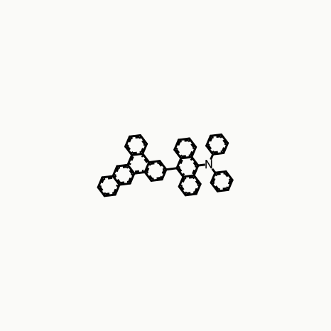 c1ccc(N(c2ccccc2)c2c3ccccc3c(-c3ccc4c(c3)c3ccccc3c3cc5ccccc5cc43)c3ccccc23)cc1